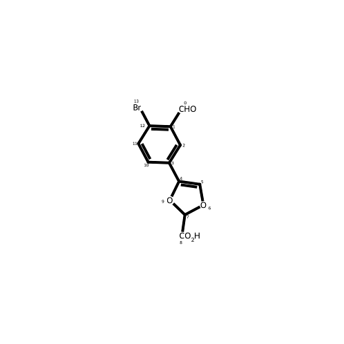 O=Cc1cc(C2=COC(C(=O)O)O2)ccc1Br